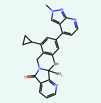 BC12Bc3cc(-c4ccnc5nn(C)cc45)cc(C4CC4)c3CN1C(=O)c1cccnc12